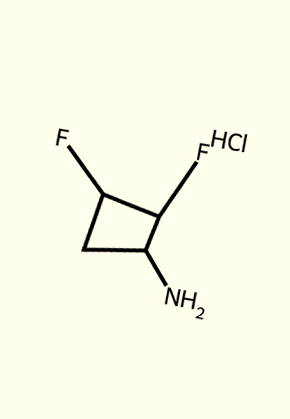 Cl.NC1CC(F)C1F